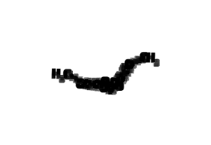 CCCCCCOC1CCC(c2ccc(C(=O)Oc3cccc(OC(=O)c4ccc(C5CCC(OCCCCCC)CC5)cc4)c3)cc2)CC1